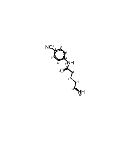 N#Cc1ccc(NC(=O)CSCC=N)cc1